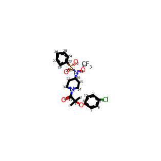 CC(C)(Oc1ccc(Cl)cc1)C(=O)N1CCC(N(OC(F)(F)F)S(=O)(=O)c2ccccc2)CC1